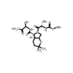 CCCC(NC(=O)[C@@H]1[C@@H]2CCC(C)(C)OC2CN1C(=O)[C@@H](NC(=O)OC(C)(C)C)C(C)(C)C)C(=O)C(=O)O